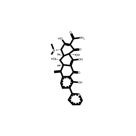 C=C1c2ccc(-c3ccccn3)c(O)c2C(=O)C2=C(O)[C@]3(O)C(=O)C(C(N)=O)=C(O)[C@@H](N(C)C)[C@@H]3[C@@H](O)[C@H]12